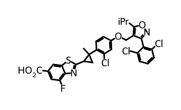 CC(C)c1onc(-c2c(Cl)cccc2Cl)c1COc1ccc(C2(C)CC2c2nc3c(F)cc(C(=O)O)cc3s2)c(Cl)c1